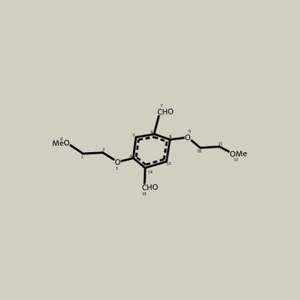 COCCOc1cc(C=O)c(OCCOC)cc1C=O